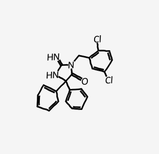 N=C1NC(c2ccccc2)(c2ccccc2)C(=O)N1Cc1cc(Cl)ccc1Cl